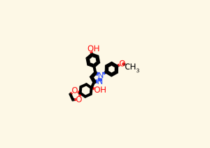 COc1ccc(-n2nc(C3(O)CCC4(CC3)OCCO4)cc2-c2ccc(O)cc2)cc1